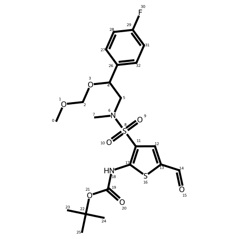 COCOC(CN(C)S(=O)(=O)c1cc(C=O)sc1NC(=O)OC(C)(C)C)c1ccc(F)cc1